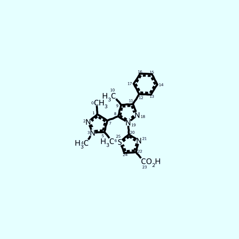 Cc1nn(C)c(C)c1-c1c(C)c(-c2ccccc2)nn1-c1nc(C(=O)O)cs1